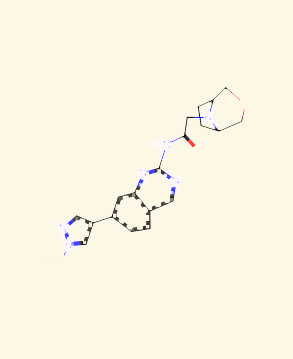 Cn1cc(-c2ccc3cnc(NC(=O)CN4C5CCC4COC5)nc3c2)cn1